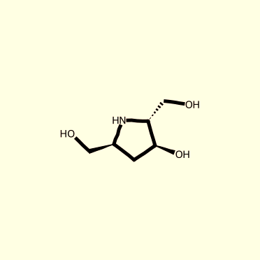 OC[C@@H]1C[C@H](O)[C@@H](CO)N1